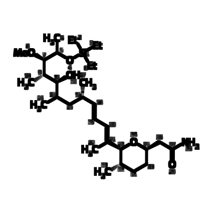 CC[Si](CC)(CC)OC(C)[C@H](OC)[C@@H](C)[C@@H](O)C(C)C[C@H](C)/C=C/C=C(\C)[C@H]1O[C@@H](CC(N)=O)CC[C@@H]1C